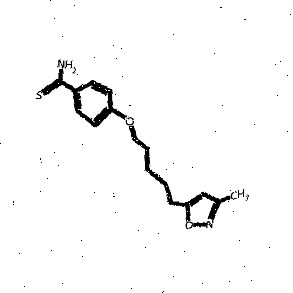 Cc1cc(CCCCCOc2ccc(C(N)=S)cc2)on1